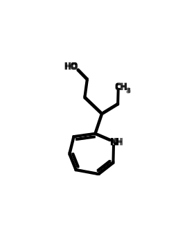 CCC(CCO)C1=CC=CC=CN1